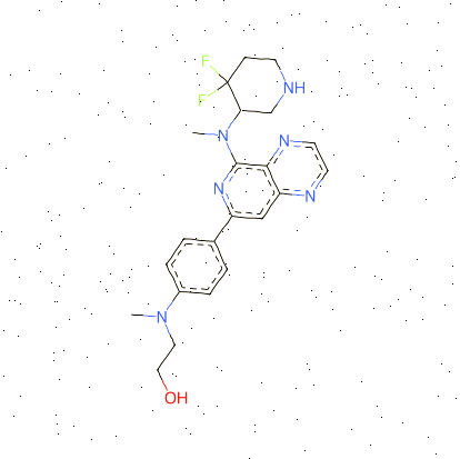 CN(CCO)c1ccc(-c2cc3nccnc3c(N(C)C3CNCCC3(F)F)n2)cc1